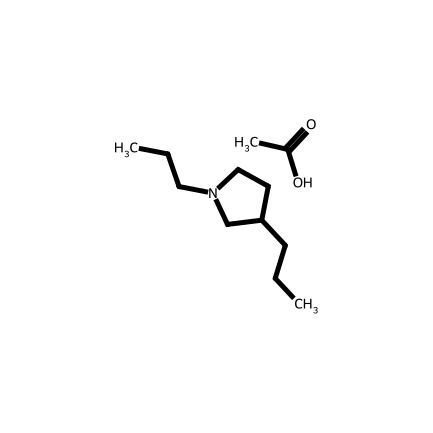 CC(=O)O.CCCC1CCN(CCC)C1